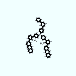 Cc1c(-c2ccc(N(c3ccc(-c4cccc(-c5ccccc5)c4)cc3)c3ccc(-c4cccc(-c5ccc6cc7ccccc7cc6c5)c4C)cc3)cc2)cccc1-c1ccc2cc3ccccc3cc2c1